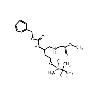 COC(=O)CNCC(CCO[Si](C)(C)C(C)(C)C)NC(=O)OCc1ccccc1